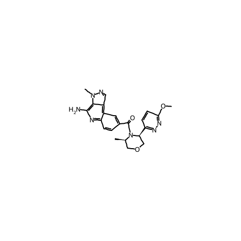 COc1ccc([C@H]2COC[C@@H](C)N2C(=O)c2ccc3nc(N)c4c(cnn4C)c3c2)nn1